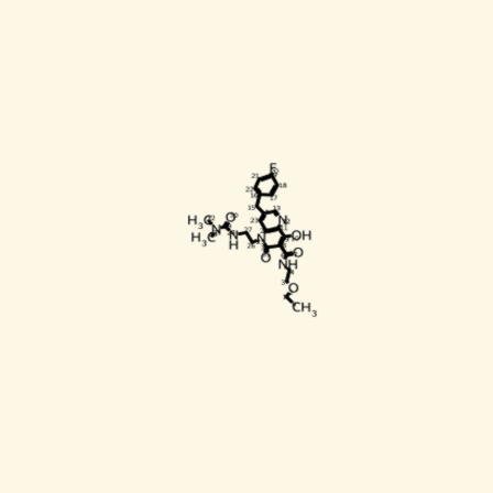 CCOCCNC(=O)c1c(O)c2ncc(Cc3ccc(F)cc3)cc2n(CCNC(=O)N(C)C)c1=O